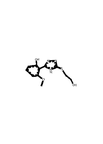 COc1cccc(O)c1-c1nnc(SCCO)[nH]1